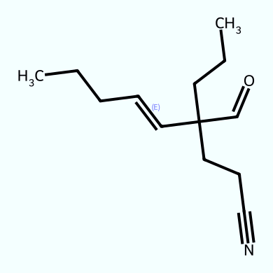 CCC/C=C/C(C=O)(CCC)CCC#N